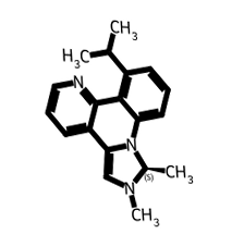 CC(C)c1cccc2c1-c1ncccc1C1=CN(C)[C@H](C)N12